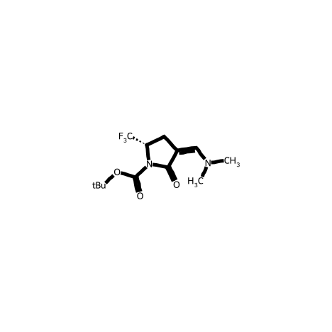 CN(C)/C=C1/C[C@@H](C(F)(F)F)N(C(=O)OC(C)(C)C)C1=O